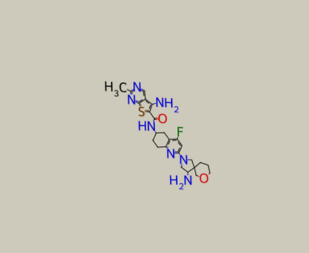 Cc1ncc2c(N)c(C(=O)NC3CCc4nc(N5CC(N)C6(CCCOC6)C5)cc(F)c4C3)sc2n1